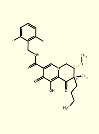 CCCC[C@]1(C)C(=O)c2c(O)c(=O)c(C(=O)NCc3c(F)cccc3F)cn2C[C@@H]1OC